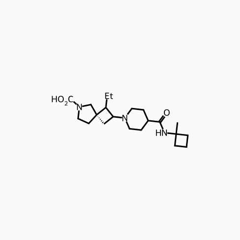 CCC1C(N2CCC(C(=O)NC3(C)CCC3)CC2)C[C@@]12CCN(C(=O)O)C2